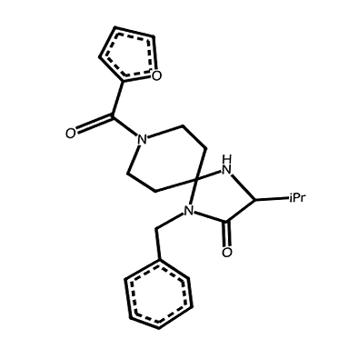 CC(C)C1NC2(CCN(C(=O)c3ccco3)CC2)N(Cc2ccccc2)C1=O